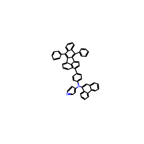 c1ccc(-c2c3c(c(-c4ccccc4)c4ccccc24)-c2ccc(-c4ccc(N(c5ccncc5)c5cc6ccccc6c6ccccc56)cc4)c4cccc-3c24)cc1